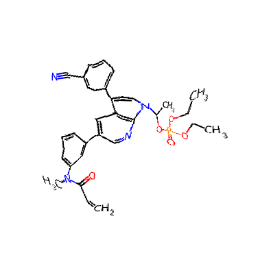 C=CC(=O)N(C)c1cccc(-c2cnc3c(c2)c(-c2cccc(C#N)c2)cn3C(C)OP(=O)(OCC)OCC)c1